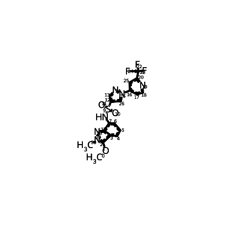 COc1c2cccc(NS(=O)(=O)c3cnn(-c4ccnc(C(F)(F)F)c4)c3)c2nn1C